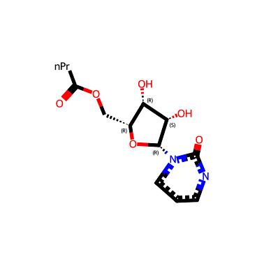 CCCC(=O)OC[C@H]1O[C@@H](n2cccnc2=O)[C@@H](O)[C@H]1O